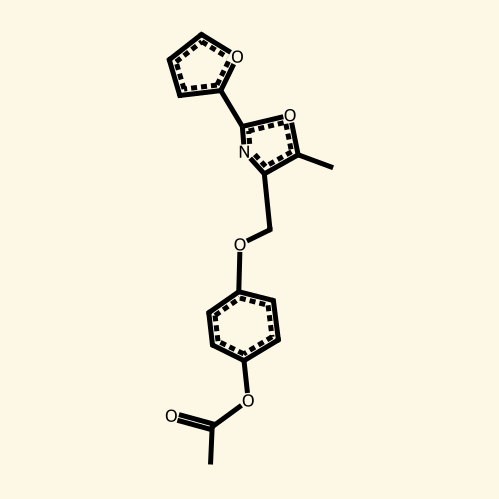 CC(=O)Oc1ccc(OCc2nc(-c3ccco3)oc2C)cc1